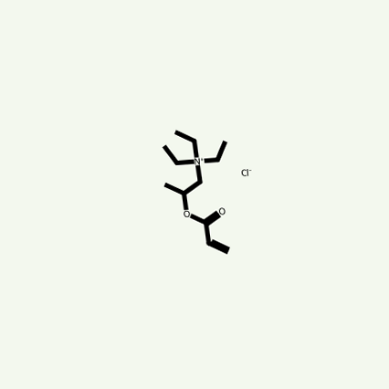 C=CC(=O)OC(C)C[N+](CC)(CC)CC.[Cl-]